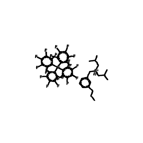 CCCc1cccc(C[NH+](CC(C)C)CC(C)C)c1.Fc1c(F)c(F)c([B-](c2c(F)c(F)c(F)c(F)c2F)(c2c(F)c(F)c(F)c(F)c2F)c2c(F)c(F)c(F)c(F)c2F)c(F)c1F